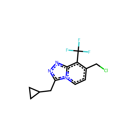 FC(F)(F)c1c(CCl)ccn2c(CC3CC3)nnc12